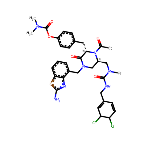 CCC(=O)N1[C@@H](CN(C(=O)NCC2=CC(Cl)C(Cl)C=C2)C(C)C)CN(Cc2cccc3sc(N)nc23)C(=O)[C@@H]1Cc1ccc(OC(=O)N(C)C)cc1